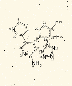 Nc1ncc(-c2cccnc2)cc1-c1nnnn1-c1cccc(F)c1F